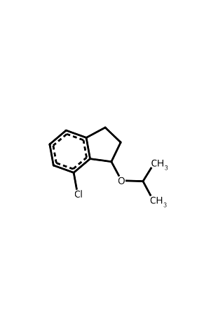 CC(C)OC1CCc2cccc(Cl)c21